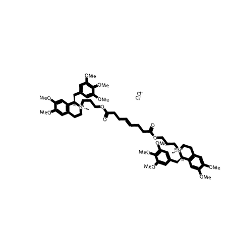 COc1cc2c(cc1OC)[C@@H](Cc1cc(OC)c(OC)c(OC)c1)[N@@+](C)(CCCOC(=O)CCC=CCCC(=O)OCCC[N@@+]1(C)CCc3cc(OC)c(OC)cc3[C@H]1Cc1cc(OC)c(OC)c(OC)c1)CC2.[Cl-].[Cl-]